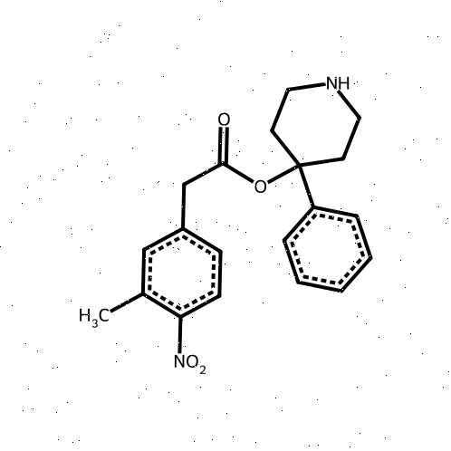 Cc1cc(CC(=O)OC2(c3ccccc3)CCNCC2)ccc1[N+](=O)[O-]